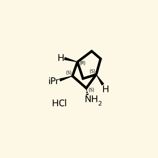 CC(C)[C@H]1[C@@H]2CC[C@@H](C2)[C@@H]1N.Cl